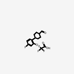 O=C(O)C(F)(F)F.O=CC1CCC(c2ccc(F)cc2Cl)CC1